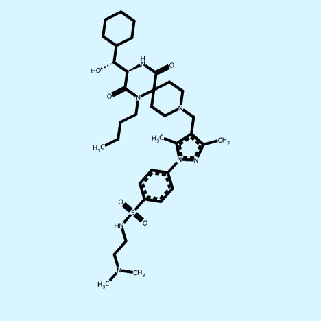 CCCCN1C(=O)[C@@H]([C@H](O)C2CCCCC2)NC(=O)C12CCN(Cc1c(C)nn(-c3ccc(S(=O)(=O)NCCN(C)C)cc3)c1C)CC2